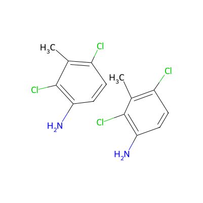 Cc1c(Cl)ccc(N)c1Cl.Cc1c(Cl)ccc(N)c1Cl